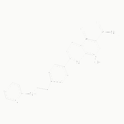 Cn1cc(C(N)=O)c(=O)c2ccc(-c3ccc(CCNc4ccccn4)cc3)nc21